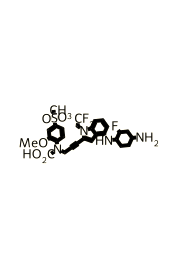 COc1cc(S(C)(=O)=O)ccc1N(CC#Cc1cc2c(NC3CCC(N)CC3F)cccc2n1CC(F)(F)F)C(=O)O